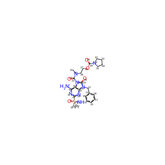 CCCS(=N)(=O)c1nc(N)c2c(n1)n(Cc1ccccc1)c(=O)n2C(=O)N(C)CCOC(=O)N1CCCC1